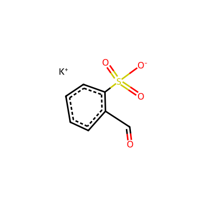 O=Cc1ccccc1S(=O)(=O)[O-].[K+]